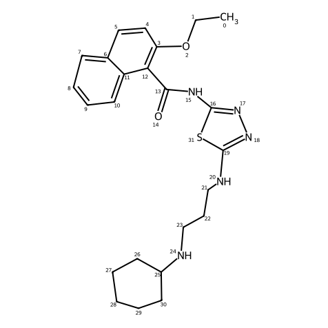 CCOc1ccc2ccccc2c1C(=O)Nc1nnc(NCCCNC2CCCCC2)s1